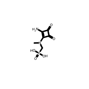 CN(CP(=O)(O)O)c1c(N)c(=O)c1=O